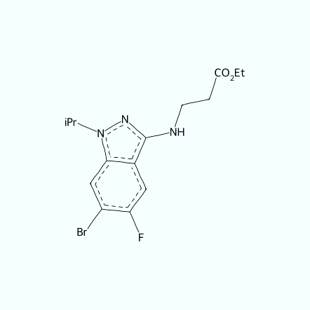 CCOC(=O)CCNc1nn(C(C)C)c2cc(Br)c(F)cc12